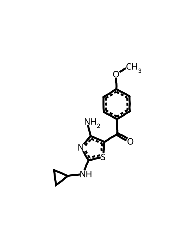 COc1ccc(C(=O)c2sc(NC3CC3)nc2N)cc1